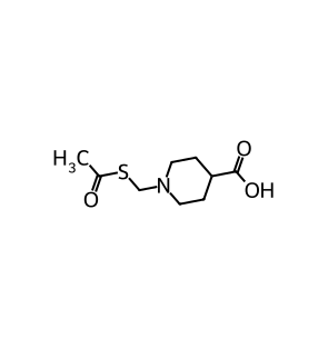 CC(=O)SCN1CCC(C(=O)O)CC1